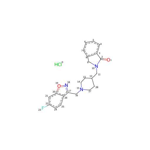 Cl.O=C1c2ccccc2CN1CC1CCN(Cc2noc3cc(F)ccc23)CC1